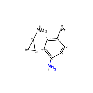 CC(C)c1ccc(N)cc1.CNC1CC1